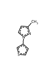 Cc1ccn(-c2ccsc2)n1